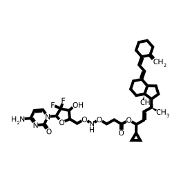 C=C1CCCC/C1=C/C=C1\CCC[C@@]2(C)C1CCC2[C@@H](C)/C=C/C(OC(=O)CCONOCC1OC(n2ccc(N)nc2=O)C(F)(F)C1O)C1CC1